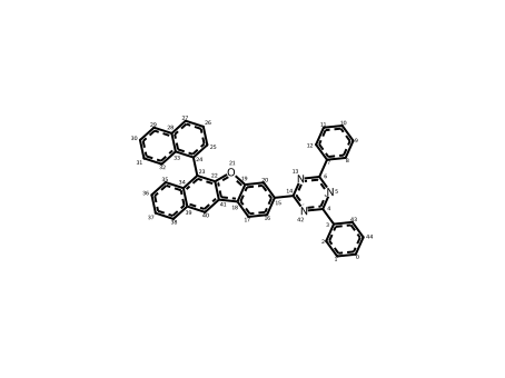 c1ccc(-c2nc(-c3ccccc3)nc(-c3ccc4c(c3)oc3c(-c5cccc6ccccc56)c5ccccc5cc34)n2)cc1